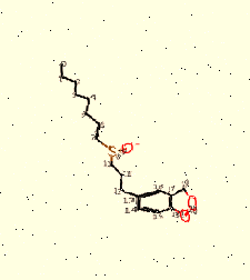 CCCCCCCC[S+]([O-])CCCc1ccc2c(c1)COO2